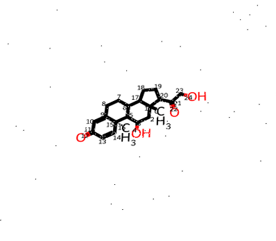 CC12CC(O)C3C(CCC4=CC(=O)C=C[C@@]43C)C1CCC2C(=O)CO